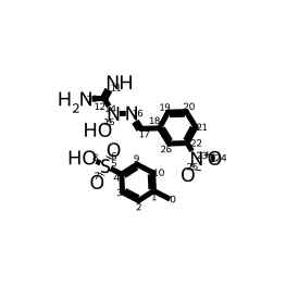 Cc1ccc(S(=O)(=O)O)cc1.N=C(N)N(O)N=Cc1cccc([N+](=O)[O-])c1